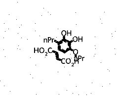 CCCOc1ccc(CCC)c(O)c1O.O=C(O)/C=C/C(=O)O